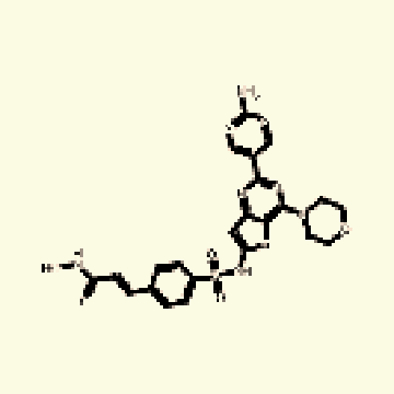 Nc1ncc(-c2nc(N3CCOCC3)c3sc(NS(=O)(=O)c4ccc(C=CC(=O)NO)cc4)cc3n2)cn1